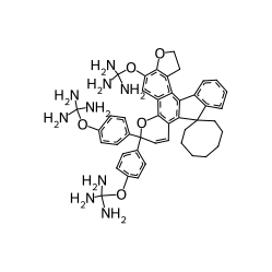 NC(N)(N)Oc1ccc(C2(c3ccc(OC(N)(N)N)cc3)C=Cc3c4c(c5c6c(c(OC(N)(N)N)cc5c3O2)OCC6)-c2ccccc2C42CCCCCCC2)cc1